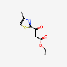 CCOC(=O)CC(=O)c1nc(C)cs1